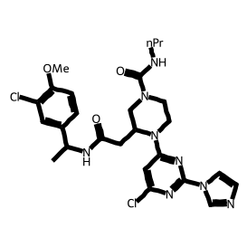 CCCNC(=O)N1CCN(c2cc(Cl)nc(-n3ccnc3)n2)C(CC(=O)NC(C)c2ccc(OC)c(Cl)c2)C1